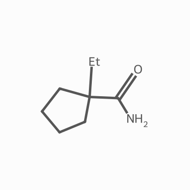 CCC1(C(N)=O)CCCC1